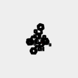 CC(N(C)C(=O)[C@@H]1[C@H](C(=O)O)N(Cc2ccccc2)C(=O)N1Cc1ccccc1)C(O)(Cc1ccccc1)Cc1ccccc1